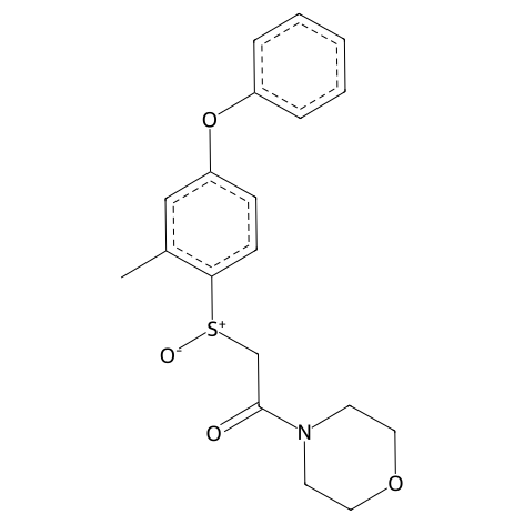 Cc1cc(Oc2ccccc2)ccc1[S+]([O-])CC(=O)N1CCOCC1